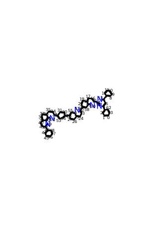 c1ccc(-c2cc(-c3ccccc3)nc(-c3ccc4ccc(-c5ccc6ccc(-c7ccc(-c8ccc9ccc%10ccc(-c%11ccccc%11)nc%10c9n8)cc7)cc6n5)cc4n3)n2)cc1